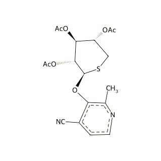 CC(=O)O[C@@H]1[C@@H](OC(C)=O)[C@H](OC(C)=O)CS[C@H]1Oc1c(C#N)ccnc1C